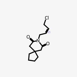 O=C1CC2(CCCC2)CC(=O)N1C/C=C\CCl